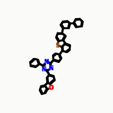 c1ccc(-c2cccc(-c3ccc4sc5c(-c6ccc(-c7nc(-c8ccccc8)nc(-c8ccc9oc%10ccccc%10c9c8)n7)cc6)cccc5c4c3)c2)cc1